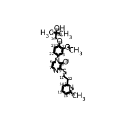 COc1cc(-n2ccnc(SCCc3cccc(C)n3)c2=O)ccc1OCC(C)(C)O